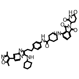 Cc1noc(C)c1-c1ccn2c(NC3CCCCC3)c(CCc3ccc(NC(=O)C4CCC(Nc5cccc6c5C(=O)N(C5CCC(=O)NC5=O)C6=O)CC4)cc3)nc2c1